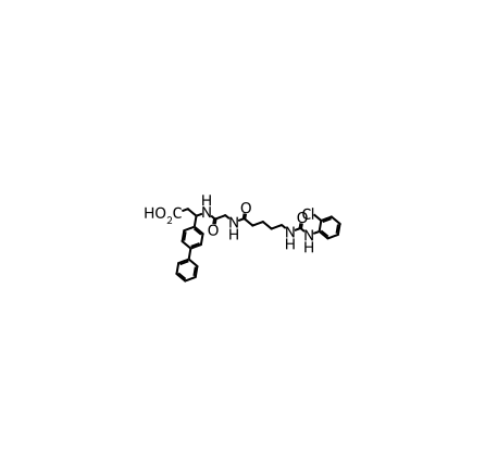 O=C(O)CC(NC(=O)CNC(=O)CCCCNC(=O)Nc1ccccc1Cl)c1ccc(-c2ccccc2)cc1